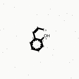 Oc1ccccc1/C=C\I